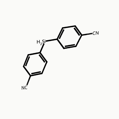 N#Cc1ccc([SiH2]c2ccc(C#N)cc2)cc1